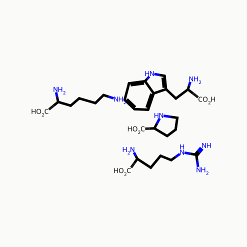 N=C(N)NCCCC(N)C(=O)O.NC(Cc1c[nH]c2ccccc12)C(=O)O.NCCCCC(N)C(=O)O.O=C(O)C1CCCN1